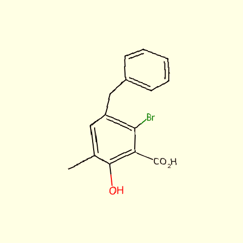 Cc1cc(Cc2ccccc2)c(Br)c(C(=O)O)c1O